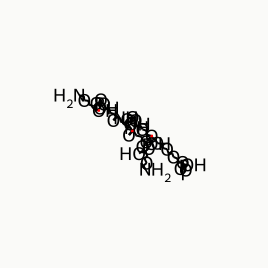 NCOCCC(CO)OP(=O)(O)OCCCCC(=O)NCC(CNC(=O)CCCCOP(=O)(O)OC(CO)CCOCN)OP(=O)(O)OCCOCCOCCOCCOCCOCCOP(=O)(O)OI